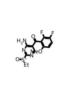 CC[S+]([O-])c1ncc(C(=O)c2c(OC)ccc(F)c2F)c(N)n1